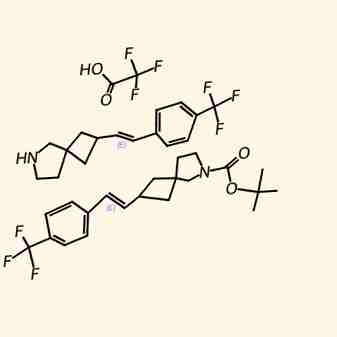 CC(C)(C)OC(=O)N1CCC2(CC(/C=C/c3ccc(C(F)(F)F)cc3)C2)C1.FC(F)(F)c1ccc(/C=C/C2CC3(CCNC3)C2)cc1.O=C(O)C(F)(F)F